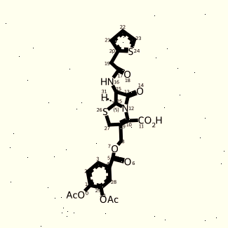 CC(=O)Oc1ccc(C(=O)OCC2=C(C(=O)O)N3C(=O)C(NC(=O)Cc4cccs4)[C@@H]3SC2)cc1OC(C)=O